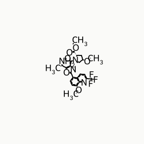 CCOC(=O)[C@@H]1C[C@@H](OC)CN1C(=O)c1nc(-c2ccc(OC)c3nc(C(F)(F)F)ccc23)oc1[C@H](C)N